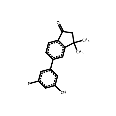 CC1(C)CC(=O)c2ccc(-c3cc(F)cc(C#N)c3)cc21